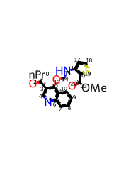 CCCC(=O)c1cnc2ccccc2c1OCNc1ccsc1C(=O)OC